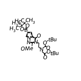 COc1nn2cc(B3OC(C)(C)C(C)(C)O3)cc2c(=O)n1CCN(CC(=O)OC(C)(C)C)C(=O)OC(C)(C)C